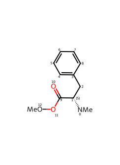 CN[C@@H](Cc1ccccc1)C(=O)OOC